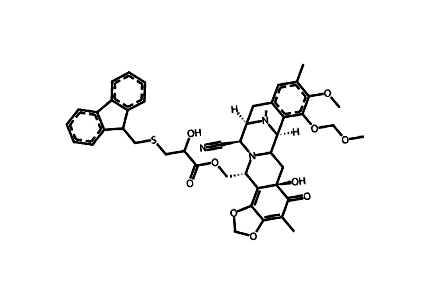 COCOc1c(OC)c(C)cc2c1[C@H]1C3C[C@]4(O)C(=O)C(C)=C5OCOC5=C4[C@H](COC(=O)C(O)CSCC4c5ccccc5-c5ccccc54)N3[C@@H](C#N)[C@@H](C2)N1C